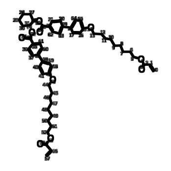 C=CC(=O)OCCCCCCCCCOc1ccc(-c2ccc(C(=O)O[C@@H]3CCCC[C@H]3OC(=O)c3ccc(-c4ccc(OCCCCCCCCCOC(=O)C=C)cc4)cc3)cc2)cc1